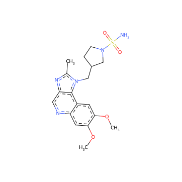 COc1cc2ncc3nc(C)n(CC4CCN(S(N)(=O)=O)C4)c3c2cc1OC